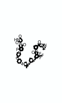 Cn1cnnc1CC1(c2cccc(N3Cc4c(cc(CN5CCC[C@H](CN6CCN(C[C@H]7CC[C@H](OC8CCN(c9ccc%10c(c9F)CN(C9CCC(=O)NC9=O)C%10=O)CC8)CC7)CC6(C)C)C5)cc4C(F)(F)F)C3=O)c2)COC1